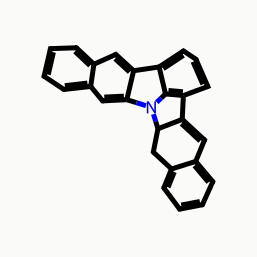 C1=C2c3cccc4c5cc6ccccc6cc5n(c34)C2Cc2ccccc21